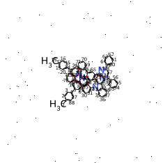 Cc1ccc(-c2ccc3c(c2)c2cc(-c4ccc(C)cc4)ccc2n3-c2c(-c3ccccc3-n3c4ccccc4c4ccccc43)cc(-c3nc(-c4ccccc4)cc(-c4ccccc4)n3)cc2-c2ccccc2-n2c3ccccc3c3ccccc32)cc1